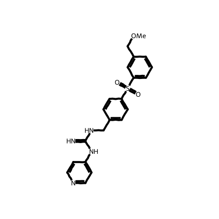 COCc1cccc(S(=O)(=O)c2ccc(CNC(=N)Nc3ccncc3)cc2)c1